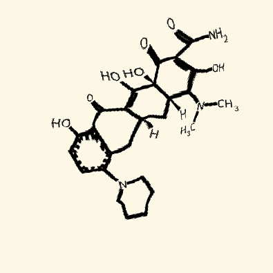 CN(C)C1C(O)=C(C(N)=O)C(=O)[C@@]2(O)C(O)=C3C(=O)c4c(O)ccc(N5CCCCC5)c4C[C@H]3C[C@@H]12